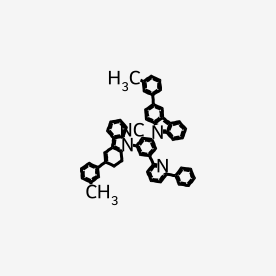 Cc1cccc(C2=Cc3c(n(-c4cc(-c5cccc(-c6ccccc6)n5)cc(-n5c6ccccc6c6cc(-c7cccc(C)c7)ccc65)c4C#N)c4ccccc34)CC2)c1